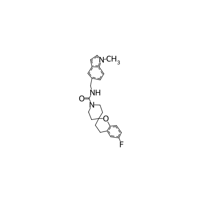 Cn1ccc2cc(CNC(=O)N3CCC4(CCc5cc(F)ccc5O4)CC3)ccc21